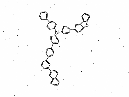 c1ccc(-c2ccc(N(c3ccc(-c4ccc(-c5cccc(-c6ccc7ccccc7c6)c5)cc4)cc3)c3ccc(-c4ccc5sc6ccccc6c5c4)cc3)cc2)cc1